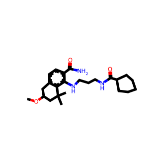 COC1Cc2ccc(C(N)=O)c(NCCCNC(=O)C3CCCCC3)c2C(C)(C)C1